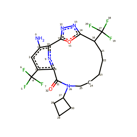 Nc1cc(C(F)(F)F)c2nc1-c1nnc(o1)C(C(F)(F)F)CCCCCN(C1CCC1)C2=O